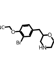 N#CCOc1ccc(CC2CNCCO2)cc1Br